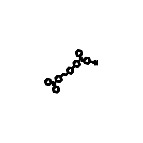 N#Cc1ccc(N(c2ccccc2)c2ccc(-c3ccc(/C=C/c4ccc(N(c5ccccc5)c5ccccc5)cc4)cc3)cc2)cc1